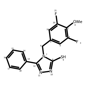 COc1c(F)cc(Cn2c(S)nnc2-c2ccccc2)cc1F